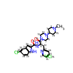 CN1CCC(N2CCN(C(=O)[C@@H](Cc3ccccn3)NC(=O)c3cc4cc(Cl)ccc4[nH]3)CC2)CC1.Cl